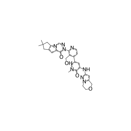 Cn1cc(-c2ccnc(-n3ncn4c5c(cc4c3=O)CC(C)(C)C5)c2CO)cc(Nc2cc3n(n2)CCOC3)c1=O